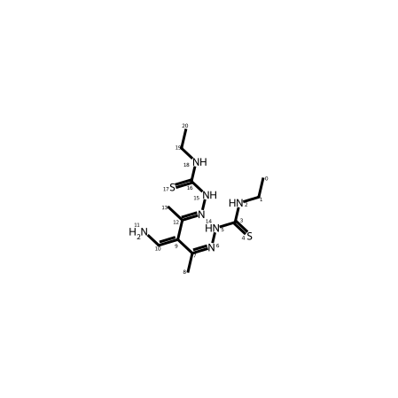 CCNC(=S)NN=C(C)C(=CN)C(C)=NNC(=S)NCC